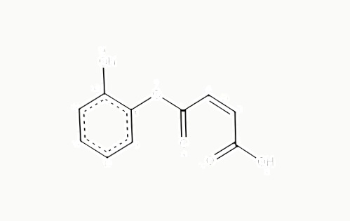 O=C(O)/C=C\C(=O)Oc1ccccc1O